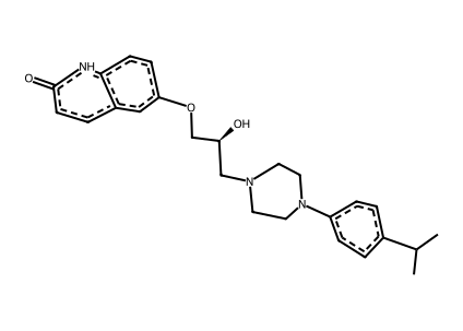 CC(C)c1ccc(N2CCN(C[C@H](O)COc3ccc4[nH]c(=O)ccc4c3)CC2)cc1